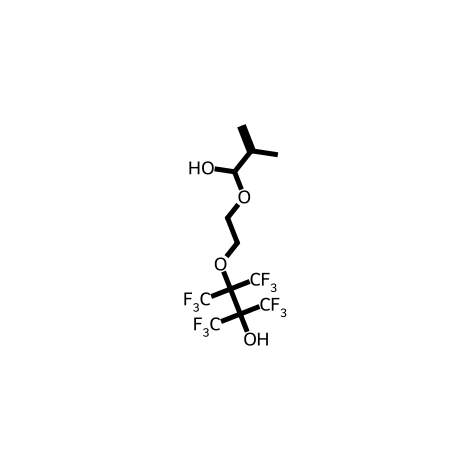 C=C(C)C(O)OCCOC(C(F)(F)F)(C(F)(F)F)C(O)(C(F)(F)F)C(F)(F)F